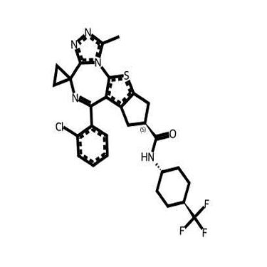 Cc1nnc2n1-c1sc3c(c1C(c1ccccc1Cl)=NC21CC1)C[C@H](C(=O)N[C@H]1CC[C@H](C(F)(F)F)CC1)C3